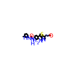 Cc1cccc(NC(=O)Nc2ccc(-c3csc4c(/C=C/C=O)cnc(N)c34)cc2)c1